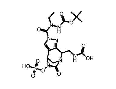 CCN(NC(=O)OC(C)(C)C)C(=O)n1cc2c(n1)C(CNC(=O)O)N1CC2N(OS(=O)(=O)O)C1=O